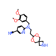 COc1ccc(CN(CCC2OCC3(CNC3)CO2)c2ccc(C#N)cn2)cc1OC